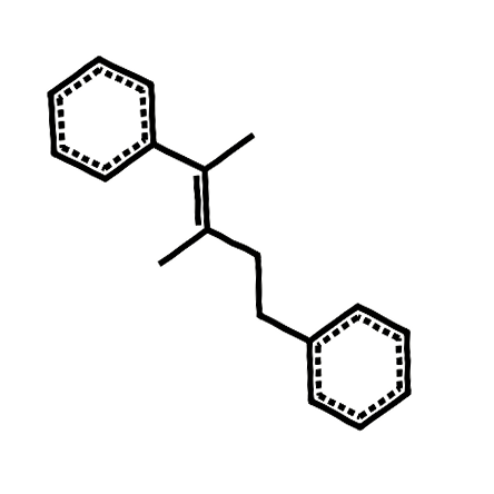 C/C(CCc1ccccc1)=C(/C)c1ccccc1